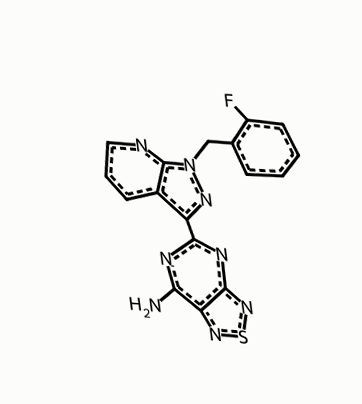 Nc1nc(-c2nn(Cc3ccccc3F)c3ncccc23)nc2nsnc12